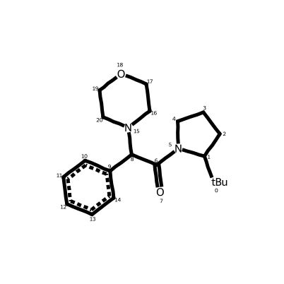 CC(C)(C)C1CCCN1C(=O)C(c1ccccc1)N1CCOCC1